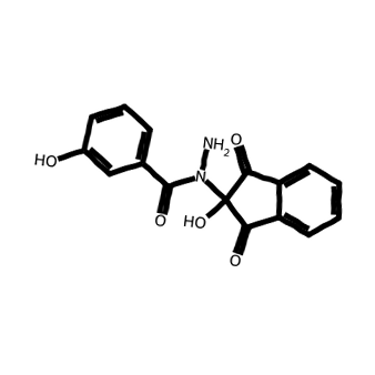 NN(C(=O)c1cccc(O)c1)C1(O)C(=O)c2ccccc2C1=O